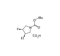 CC[C@@H]1[C@@H](C(=O)O)N(C(=O)OC(C)(C)C)C[C@@H]1F